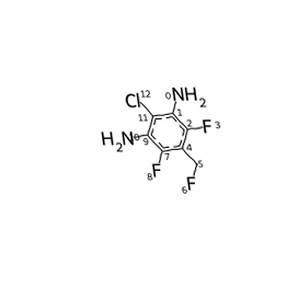 Nc1c(F)c(CF)c(F)c(N)c1Cl